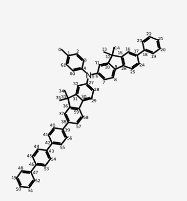 Cc1ccc(N(c2ccc3c(c2)C(C)(C)c2cc(-c4ccccc4)ccc2-3)c2ccc3c(c2)C(C)(C)c2cc(-c4ccc(-c5ccc(-c6ccccc6)cc5)cc4)ccc2-3)cc1